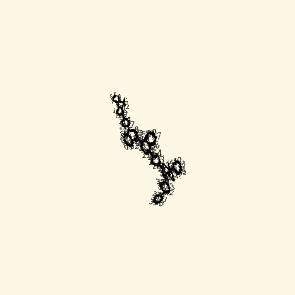 CC1(C)c2ccccc2-c2ccc(-c3ccc(-c4ccc(-c5ccc(-c6ccc(-c7cc(-c8ccc(-c9ccccc9)cc8)nc(-c8ccccc8)n7)cc6)c6ccccc56)c5ccccc45)cc3)cc21